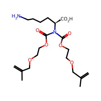 C=C(C)COCCOC(=O)N(C(=O)OCCOCC(=C)C)[C@@H](CCCCN)C(=O)O